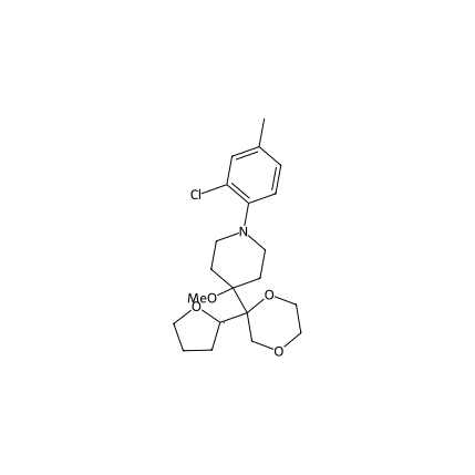 COC1(C2([C]3CCCO3)COCCO2)CCN(c2ccc(C)cc2Cl)CC1